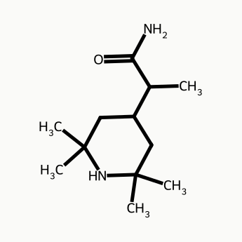 CC(C(N)=O)C1CC(C)(C)NC(C)(C)C1